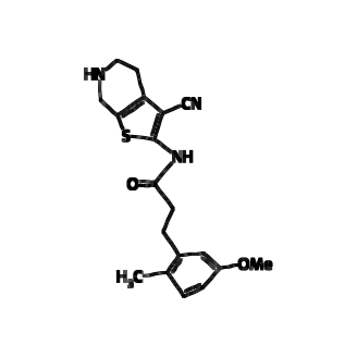 COc1ccc(C)c(CCC(=O)Nc2sc3c(c2C#N)CCNC3)c1